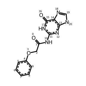 O=C(COc1ccccc1)Nc1nc2c(c(=O)[nH]1)N=C[N]2